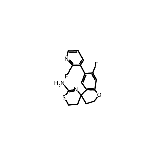 NC1=NC2(CCOc3cc(F)c(-c4cccnc4F)cc32)CCS1